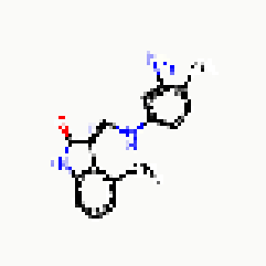 Cc1ccc(N/C=C2/C(=O)Nc3cccc(C)c32)cc1N